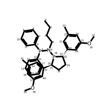 CCCCN(P(c1ccccc1)c1ccccc1)P1[C@H](c2cc(C)cc(OC)c2)CC[C@H]1c1cc(C)cc(OC)c1